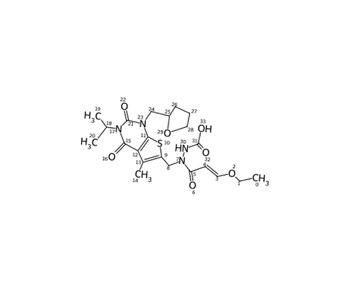 CCO/C=C/C(=O)N(Cc1sc2c(c1C)c(=O)n(C(C)C)c(=O)n2CC1CCCO1)NC(=O)O